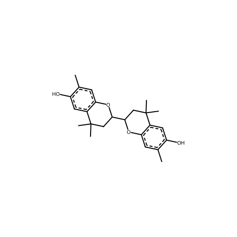 Cc1cc2c(cc1O)C(C)(C)CC(C1CC(C)(C)c3cc(O)c(C)cc3O1)O2